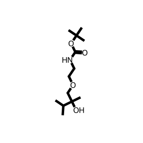 CC(C)C(C)(O)COCCNC(=O)OC(C)(C)C